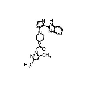 Cc1cc(C)n(CC(=O)N2CCN(c3scnc3-c3nc4ccccc4[nH]3)CC2)n1